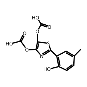 Cc1ccc(O)c(-c2nc(OC(=O)O)c(OC(=O)O)s2)c1